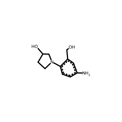 Nc1ccc(N2CCC(O)C2)c(CO)c1